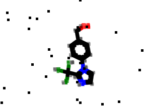 OCc1ccc(-n2ccnc2C(F)(F)F)cc1